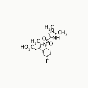 CC1=C(CC(=O)O)C2=CC(F)=CCC2N1S(=O)(=O)C1=CN(C)C(C)N1